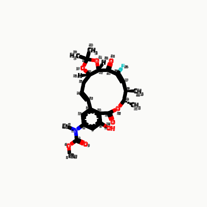 CCN(C(=O)OC(C)(C)C)c1cc(O)c2c(c1)/C=C/C[C@@H]1OC(C)(C)O[C@@H]1C(=O)/C(F)=C\[C@@H](C)[C@H](C)OC2=O